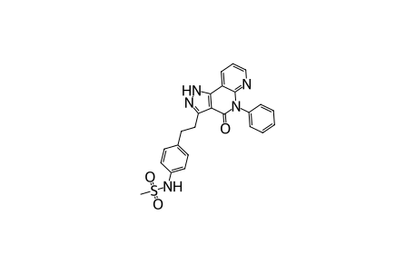 CS(=O)(=O)Nc1ccc(CCc2n[nH]c3c2c(=O)n(-c2ccccc2)c2ncccc32)cc1